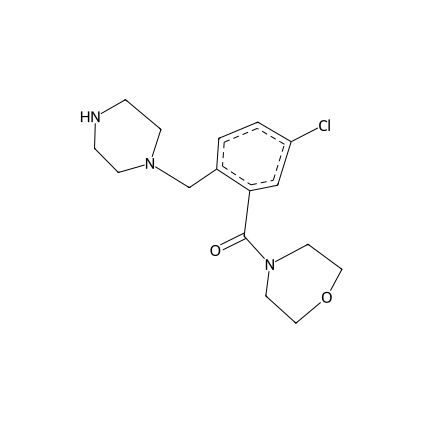 O=C(c1cc(Cl)ccc1CN1CCNCC1)N1CCOCC1